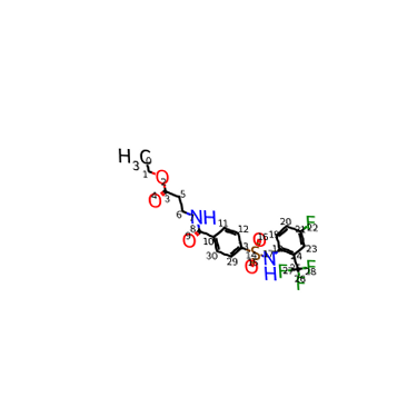 CCOC(=O)CCNC(=O)c1ccc(S(=O)(=O)Nc2ccc(F)cc2C(F)(F)F)cc1